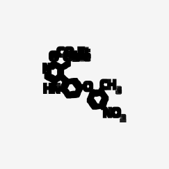 CCOC(=O)Oc1ncc2[nH]c3ccc(Oc4ccc([N+](=O)[O-])cc4C)cc3c2c1COC